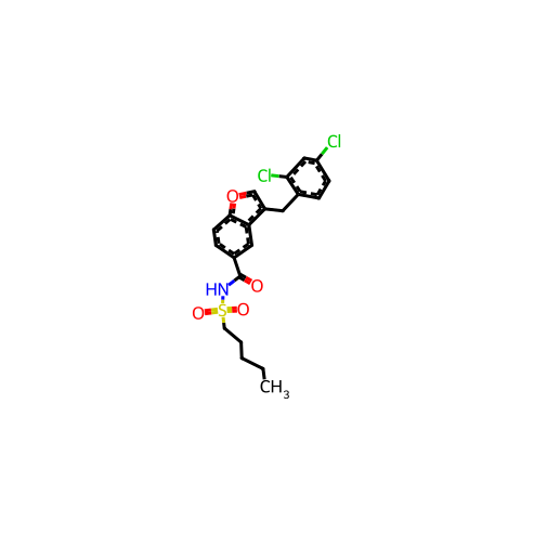 CCCCCS(=O)(=O)NC(=O)c1ccc2occ(Cc3ccc(Cl)cc3Cl)c2c1